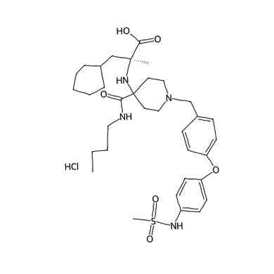 CCCCNC(=O)C1(N[C@@](C)(CC2CCCCC2)C(=O)O)CCN(Cc2ccc(Oc3ccc(NS(C)(=O)=O)cc3)cc2)CC1.Cl